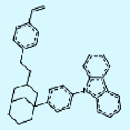 C=Cc1ccc(CCC2CC3CCCC(c4ccc(-n5c6ccccc6c6ccccc65)cc4)(C3)C2)cc1